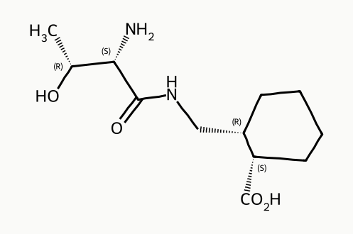 C[C@@H](O)[C@H](N)C(=O)NC[C@@H]1CCCC[C@@H]1C(=O)O